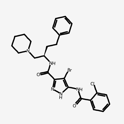 O=C(Nc1[nH]nc(C(=O)N[C@H](CCc2ccccc2)CN2CCCCC2)c1Br)c1ccccc1Cl